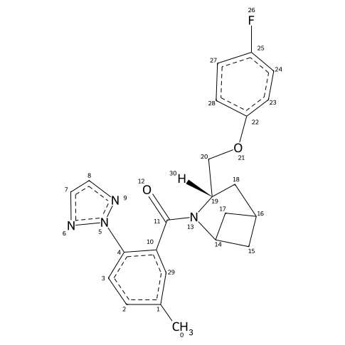 Cc1ccc(-n2nccn2)c(C(=O)N2C3CC(C3)C[C@H]2COc2ccc(F)cc2)c1